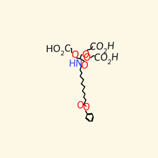 O=C(O)CCOCC(COCCC(=O)O)(COCCC(=O)O)NC(=O)CCCCCCCCCCC(=O)OCc1ccccc1